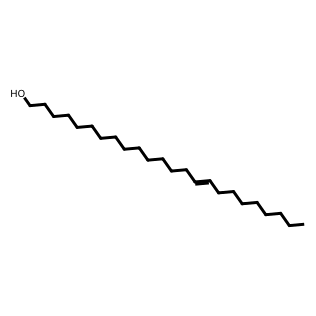 CCCCCCCCC=CCCCCCCCCCCCCCCO